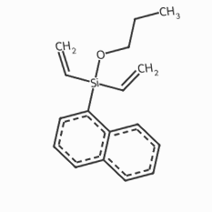 C=C[Si](C=C)(OCCC)c1cccc2ccccc12